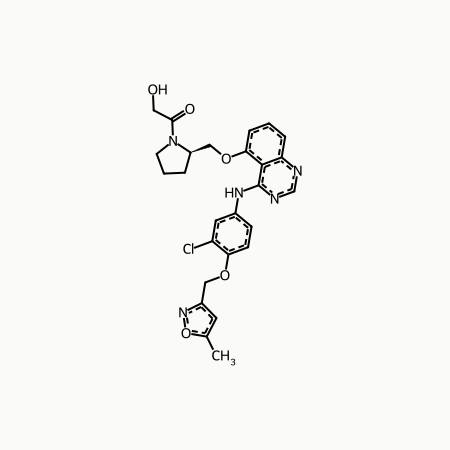 Cc1cc(COc2ccc(Nc3ncnc4cccc(OC[C@H]5CCCN5C(=O)CO)c34)cc2Cl)no1